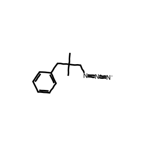 CC(C)(CN=[N+]=[N-])Cc1ccccc1